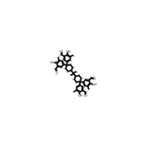 Cc1cc(C2(c3cc(C)c(O)c(C=O)c3)CCC(C(C)(C)C3CCC(c4cc(C)c(O)c(C=O)c4)(c4cc(C)c(O)c(C=O)c4)CC3)CC2)cc(C=O)c1O